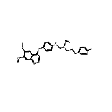 COc1cc2nccc(Oc3ccc(NCN(C=O)CCCc4ccc(F)cc4)cc3)c2cc1OC